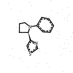 [c]1nc([C@H]2CCCN2c2ccccc2)cs1